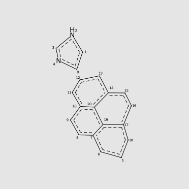 c1c[nH]cn1.c1cc2ccc3cccc4ccc(c1)c2c34